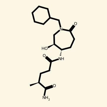 C[C@@H](C[CH]C(=O)N[C@H]1CCC(=O)N(CC2CCCCC2)C[C@@H]1O)C(N)=O